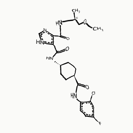 COC[C@H](C)NC(=O)c1nc[nH]c1C(=O)N[C@H]1CC[C@H](C(=O)Nc2ccc(F)cc2Cl)CC1